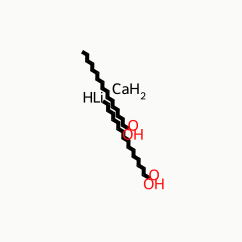 CCCCCCCCC=CCCCCCCCC(=O)O.CCCCCCCCCCCCCCCCCC(=O)O.[CaH2].[LiH]